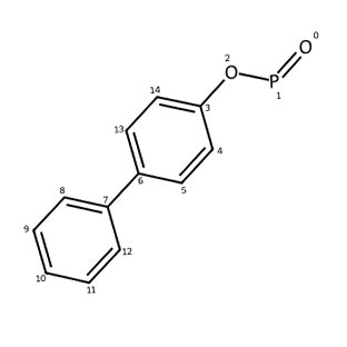 O=POc1ccc(-c2ccccc2)cc1